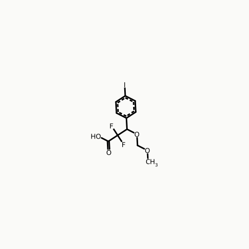 COCOC(c1ccc(I)cc1)C(F)(F)C(=O)O